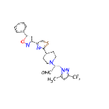 Cc1cc(C(F)(F)F)nn1CC(C=O)N1CCC(c2nc(C3=NOC(c4ccccc4)C3)cs2)CC1